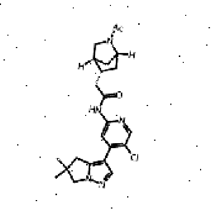 CC(=O)N1C[C@@H]2C[C@H]1C[C@@H]2CC(=O)Nc1cc(-c2cnn3c2CC(C)(C)C3)c(Cl)cn1